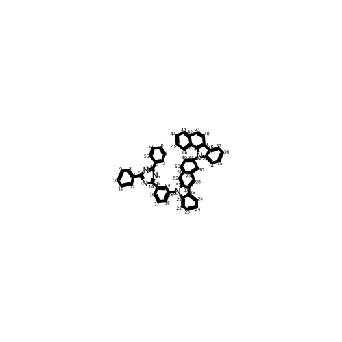 c1ccc(-c2nc(-c3ccccc3)nc(-c3cccc(-n4c5ccccc5c5cc6cc(-n7c8ccccc8c8ccc9ccccc9c87)ccc6cc54)c3)n2)cc1